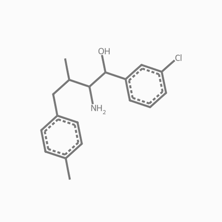 Cc1ccc(CC(C)C(N)C(O)c2cccc(Cl)c2)cc1